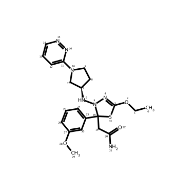 CCOC1=NN(N[C@@H]2CCN(c3cccnn3)C2)C(CC(N)=O)(c2cccc(OC)c2)S1